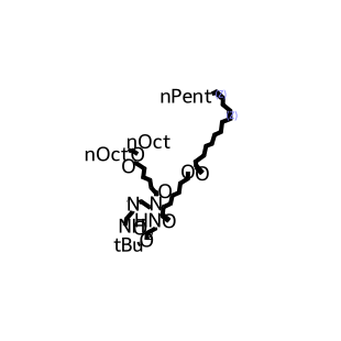 CCCCC/C=C\C/C=C\CCCCCCCC(=O)OCCCCCC(C(=O)NCC(=O)OC(C)(C)C)N(CCN(C)CCN)C(=O)CCCCC(=O)OC(CCCCCCCC)CCCCCCCC